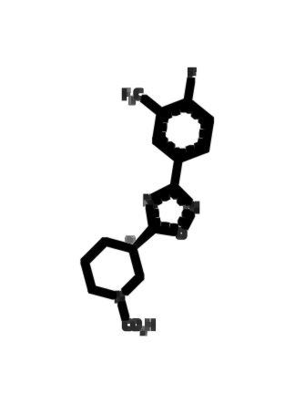 O=C(O)N1CCC[C@@H](c2nc(-c3ccc(F)c(C(F)(F)F)c3)no2)C1